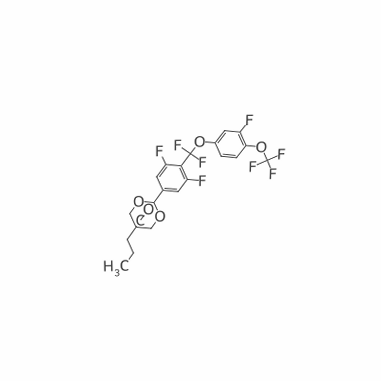 CCCC12COC(c3cc(F)c(C(F)(F)Oc4ccc(OC(F)(F)F)c(F)c4)c(F)c3)(OC1)OC2